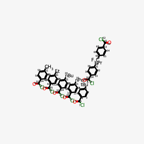 CC(C)(C)c1ccc(C(=O)Cl)cc1.CCCCCc1ccc(C(=O)Cl)cc1.CCCCc1ccc(C(=O)Cl)cc1.CCCc1ccc(C(=O)Cl)cc1.CCc1ccc(C(=O)Cl)cc1.Cc1ccc(C(=O)Cl)cc1.O=C(Cl)c1ccc(C(F)(F)F)cc1